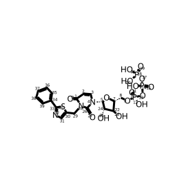 O=c1ccn([C@@H]2O[C@H](COP(=O)(O)OP(=O)(O)OP(=O)(O)O)C(O)[C@@H]2O)c(=O)n1Cc1cnc(-c2ccccc2)s1